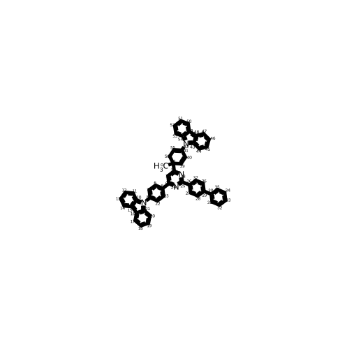 CC1(c2cc(-c3ccc(-n4c5ccccc5c5ccccc54)cc3)nc(-c3ccc(-c4ccccc4)cc3)n2)C=CC(n2c3ccccc3c3ccccc32)=CC1